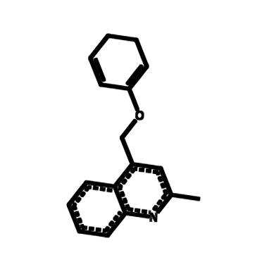 Cc1cc(COC2=CCCC=C2)c2ccccc2n1